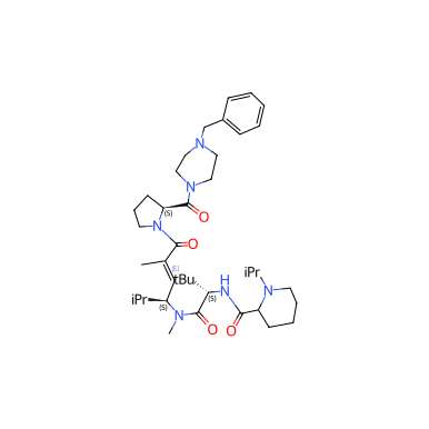 C/C(=C\[C@H](C(C)C)N(C)C(=O)[C@@H](NC(=O)C1CCCCN1C(C)C)C(C)(C)C)C(=O)N1CCC[C@H]1C(=O)N1CCN(Cc2ccccc2)CC1